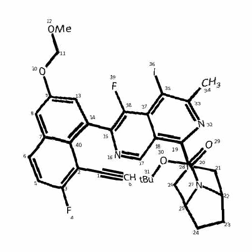 C#Cc1c(F)ccc2cc(OCOC)cc(-c3ncc4c(N5CC6CCC(C5)N6C(=O)OC(C)(C)C)nc(C)c(I)c4c3F)c12